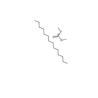 CCCCCCCCCCCCCC.CO[PH](=O)OC